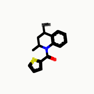 CC(=O)NC1CC(C)N(C(=O)c2cccs2)c2ccccc21